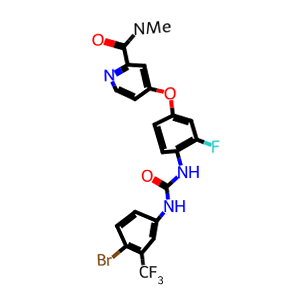 CNC(=O)c1cc(Oc2ccc(NC(=O)Nc3ccc(Br)c(C(F)(F)F)c3)c(F)c2)ccn1